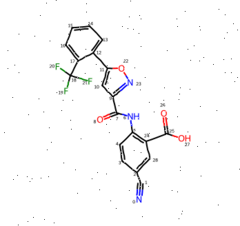 N#Cc1ccc(NC(=O)c2cc(-c3ccccc3C(F)(F)F)on2)c(C(=O)O)c1